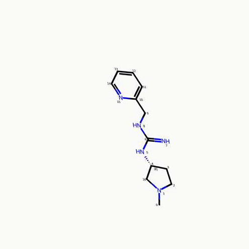 CN1CC[C@@H](NC(=N)NCc2ccccn2)C1